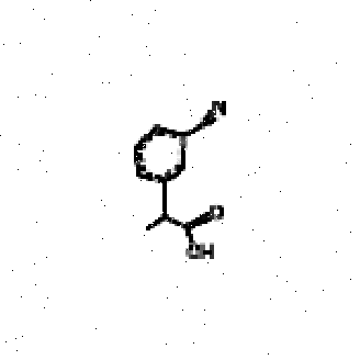 CC(C(=O)O)c1cccc(C#N)c1